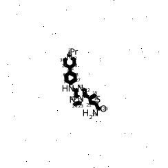 CC(C)N1CCC(c2ccc(Nc3ncc(-c4csc(C(N)=O)c4)n4ccnc34)cc2)CC1